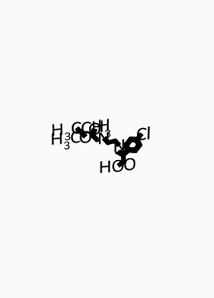 CC(C)(C)OC(=O)CNCCn1cc(C(=O)O)c2ccc(Cl)cc21